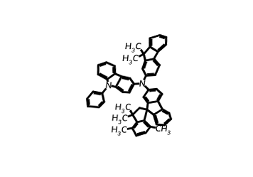 Cc1ccc(C)c2c1C(C)(C)CC21c2ccccc2-c2ccc(N(c3ccc4c(c3)C(C)(C)c3ccccc3-4)c3ccc4c(c3)c3ccccc3n4-c3ccccc3)cc21